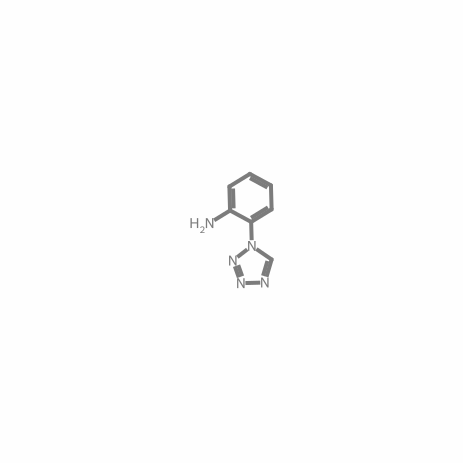 Nc1ccccc1-n1cnnn1